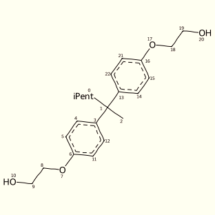 CCCC(C)C(C)(c1ccc(OCCO)cc1)c1ccc(OCCO)cc1